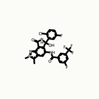 Cc1c2cc(NC(=O)c3cc(F)cc(C(F)(F)F)c3)c3c(c2nn1C)C(=O)NC3(O)c1cc(F)ccc1Cl